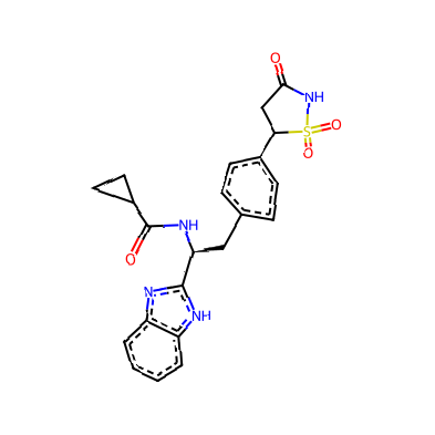 O=C1CC(c2ccc(C[C@H](NC(=O)C3CC3)c3nc4ccccc4[nH]3)cc2)S(=O)(=O)N1